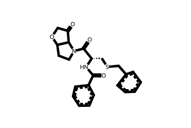 O=C(N[C@@H](CSCc1ccccc1)C(=O)N1CCC2OCC(=O)C21)c1ccccc1